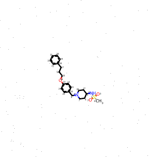 CS(=O)(=O)NC1CCN(Cc2ccc(OCCCc3ccccc3)cc2)CC1